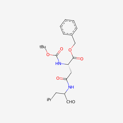 CC(C)CC(C=O)NC(=O)C[C@H](NC(=O)OC(C)(C)C)C(=O)OCc1ccccc1